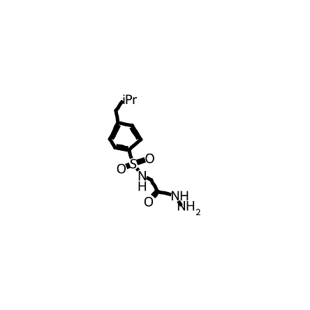 CC(C)Cc1ccc(S(=O)(=O)NCC(=O)NN)cc1